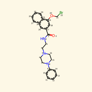 O=C(NCCN1CCN(c2ccccc2)CC1)c1cc(OCBr)c2ccccc2c1